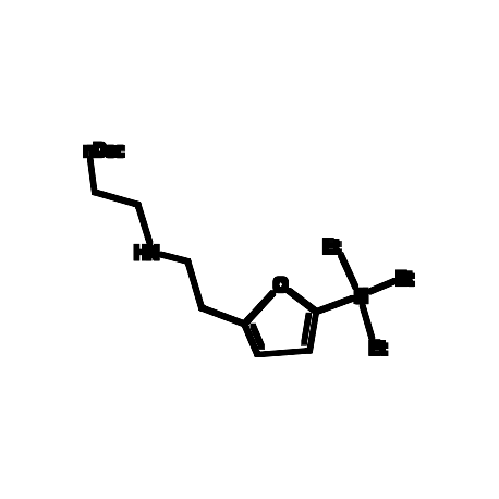 CCCCCCCCCCCCNCCc1ccc([Si](CC)(CC)CC)o1